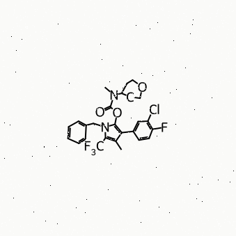 Cc1c(-c2ccc(F)c(Cl)c2)c(OC(=O)N(C)C2CCOCC2)n(Cc2ccccc2)c1C(F)(F)F